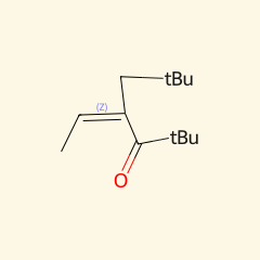 C/C=C(/CC(C)(C)C)C(=O)C(C)(C)C